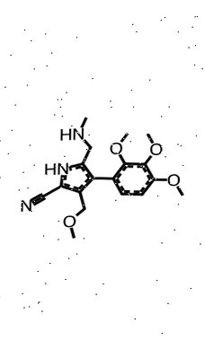 CNCc1[nH]c(C#N)c(COC)c1-c1ccc(OC)c(OC)c1OC